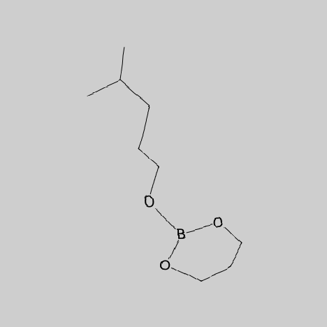 CC(C)CCCOB1OCCCO1